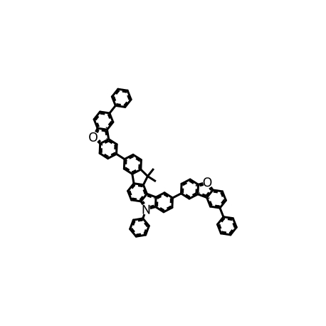 CC1(C)c2ccc(-c3ccc4oc5ccc(-c6ccccc6)cc5c4c3)cc2-c2ccc3c(c21)c1cc(-c2ccc4oc5ccc(-c6ccccc6)cc5c4c2)ccc1n3-c1ccccc1